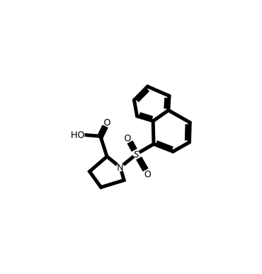 O=C(O)C1CCCN1S(=O)(=O)c1cccc2ccccc12